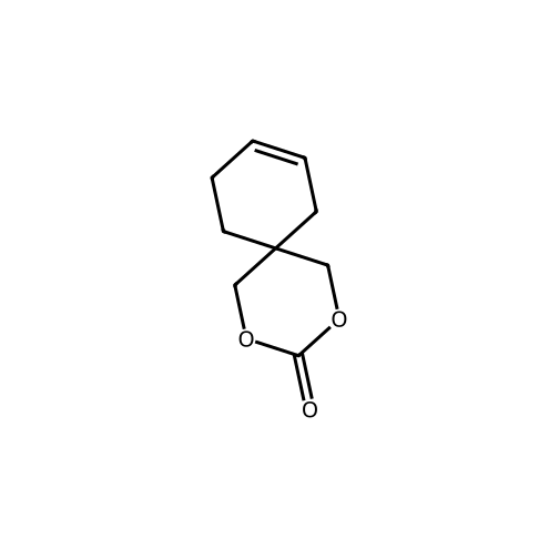 O=C1OCC2(CC=CCC2)CO1